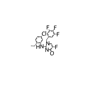 CCc1ccc(Cl)cc1Nc1nc(=O)c(F)cn1Cc1cc(F)c(F)c(F)c1